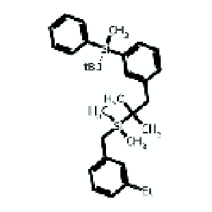 CCc1cccc(C[Si](C)(C)C(C)(C)Cc2cccc([Si@](C)(c3ccccc3)C(C)(C)C)c2)c1